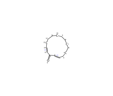 O=C1/C=C/CCCCCCCCCC/C=C/1